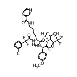 COc1ccc([C@H](NC(=O)[C@H](CCCCNC(=O)c2cnccn2)NC(=O)C(F)(F)c2cccc(Cl)c2)C(=O)N[C@H](C(=O)C(F)(F)F)C(C)C)cc1